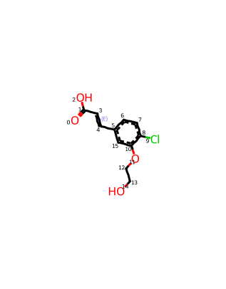 O=C(O)/C=C/c1ccc(Cl)c(OCCO)c1